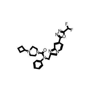 O=C(N1CCN(C2CCC2)CC1)N(Cc1cn2ccc(-c3nnc(C(F)F)o3)cc2n1)c1ccccc1